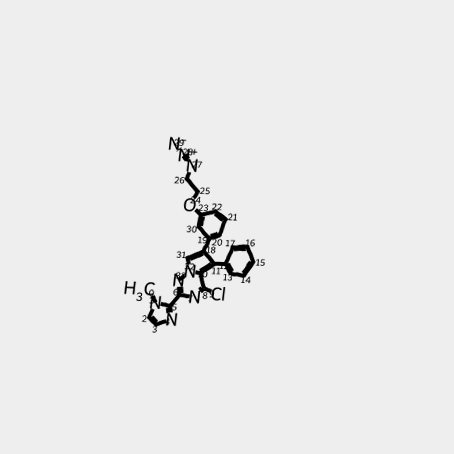 Cn1ccnc1-c1nc(Cl)c2c(-c3ccccc3)c(-c3cccc(OCCN=[N+]=[N-])c3)cn2n1